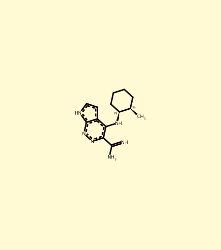 C[C@@H]1CCCC[C@@H]1Nc1c(C(=N)N)nnc2[nH]ccc12